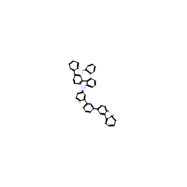 c1ccc(-n2c3ccccc3c3ccc4c(c5ccccc5n4-c4ccc5sc6ccc(-c7ccc8oc9ccccc9c8c7)cc6c5c4)c32)cc1